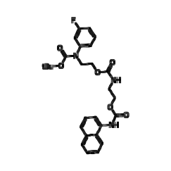 CC(C)(C)OC(=O)N(CCOC(=O)NCCOC(=O)Nc1cccc2ccccc12)c1cccc(F)c1